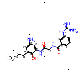 N=C(N)Nc1cccc(C(=O)NCC(=O)Nc2cc(N)cc(CCC(=O)O)c2O)c1